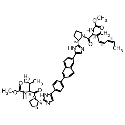 C=C(/C=C\C=C/C)[C@@H](NC(=O)OC)C(=O)N1CCC[C@H]1c1ncc(-c2ccc3cc(-c4ccc(-c5cnc([C@@H]6SCCN6C(=O)[C@@H](NC(=O)OC)C(C)C)[nH]5)cc4)ccc3c2)[nH]1